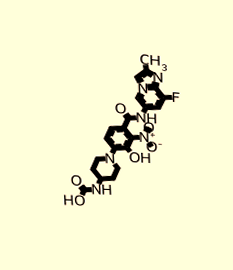 Cc1cn2cc(NC(=O)c3ccc(N4CCC(NC(=O)O)CC4)c(O)c3[N+](=O)[O-])cc(F)c2n1